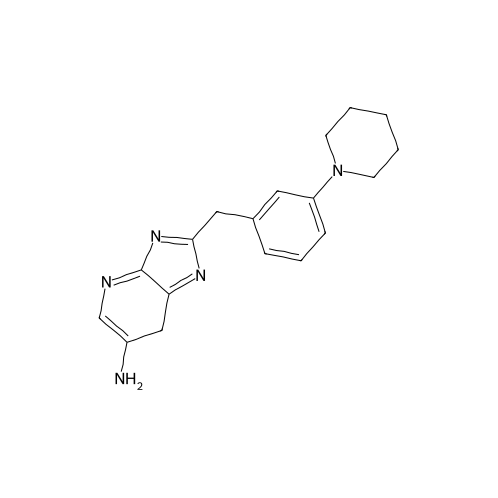 NC1=CN=C2N=C(Cc3cccc(N4CCCCC4)c3)N=C2C1